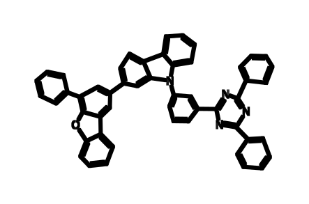 c1ccc(-c2nc(-c3ccccc3)nc(-c3cccc(-n4c5ccccc5c5ccc(-c6cc(-c7ccccc7)c7oc8ccccc8c7c6)cc54)c3)n2)cc1